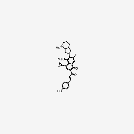 COc1c(N2CC3CCCN(C(C)=O)C3C2)c(F)cc2c(=O)c(C(=O)C=Cc3ccc(O)cc3)cn(C3CC3)c12